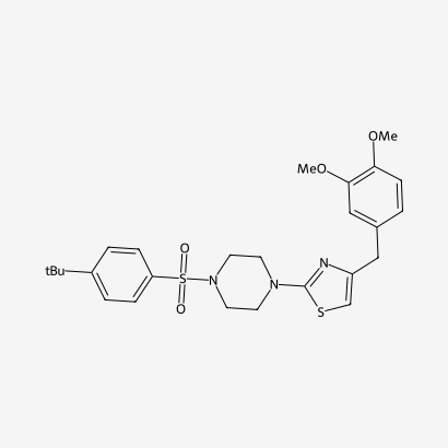 COc1ccc(Cc2csc(N3CCN(S(=O)(=O)c4ccc(C(C)(C)C)cc4)CC3)n2)cc1OC